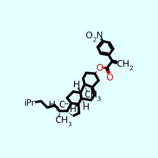 C=C(C(=O)O[C@H]1CC[C@@]2(C)C(=CC[C@H]3[C@@H]4CC[C@H]([C@H](C)CCCC(C)C)[C@@]4(C)CC[C@@H]32)C1)c1ccc([N+](=O)[O-])cc1